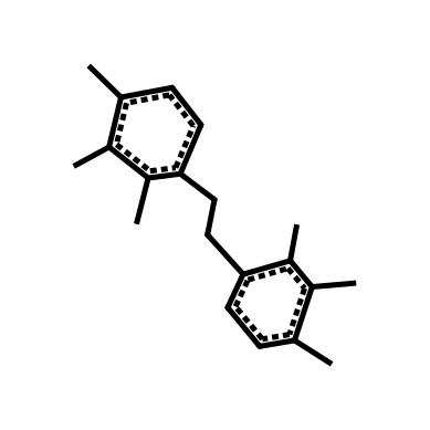 Cc1ccc(CCc2ccc(C)c(C)c2C)c(C)c1C